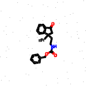 CCCC1(CCNC(=O)OCc2ccccc2)CC(=O)c2ccccc21